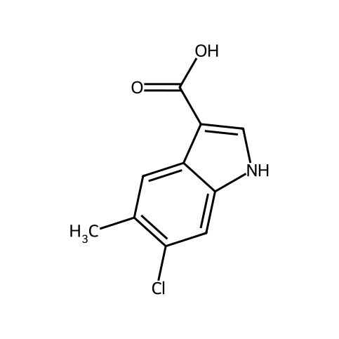 Cc1cc2c(C(=O)O)c[nH]c2cc1Cl